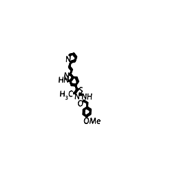 COc1ccc(CC(=O)Nc2nc(C)c(-c3ccc4c(C=Cc5ccccn5)n[nH]c4c3)s2)cc1